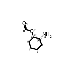 N[C@@H]1CCCC[C@H]1OC=O